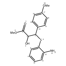 COC(=O)C(O)C(Sc1ccccc1N)c1ccc(OC)cc1